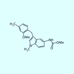 COC(=O)Nc1ccc2c(c1)c(Cc1ccc(C)cc1OC)cn2C